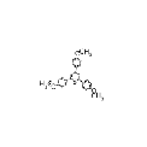 COc1ccc(-c2cc(-c3ccc(OC)cc3)[s+]c(-c3ccc(OC)cc3)c2)cc1